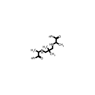 CCCC(=O)C(C)NCC(C)(C)CNC(C)C(=O)CCC